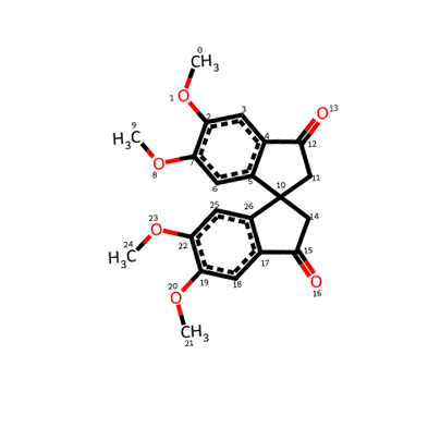 COc1cc2c(cc1OC)C1(CC2=O)CC(=O)c2cc(OC)c(OC)cc21